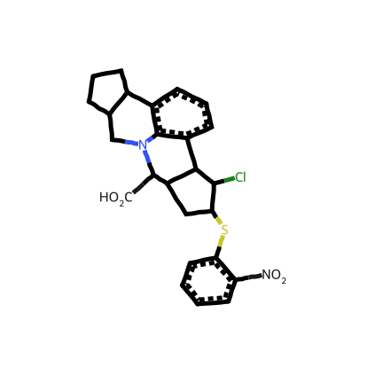 O=C(O)C1C2CC(Sc3ccccc3[N+](=O)[O-])C(Cl)C2c2cccc3c2N1CC1CCCC31